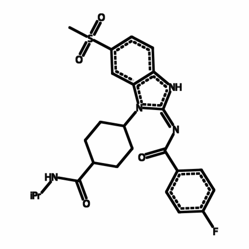 CC(C)NC(=O)C1CCC(n2/c(=N\C(=O)c3ccc(F)cc3)[nH]c3ccc(S(C)(=O)=O)cc32)CC1